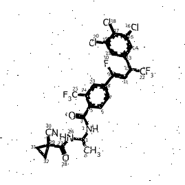 CC(NC(=O)c1ccc(/C(F)=C/C(c2cc(Cl)c(Cl)c(Cl)c2)C(F)(F)F)cc1C(F)(F)F)NC(=O)C1(C#N)CC1